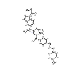 C=C/C(=C\C(N)C(=O)c1ccc(OCCN2CCC(O)CC2)cc1)N(C)c1ccc2c(ccn2C(=O)NC)c1